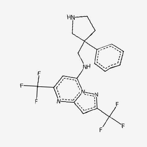 FC(F)(F)c1cc(NCC2(c3ccccc3)CCNC2)n2nc(C(F)(F)F)cc2n1